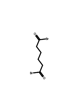 O=C(Br)CCCCC(=O)Br